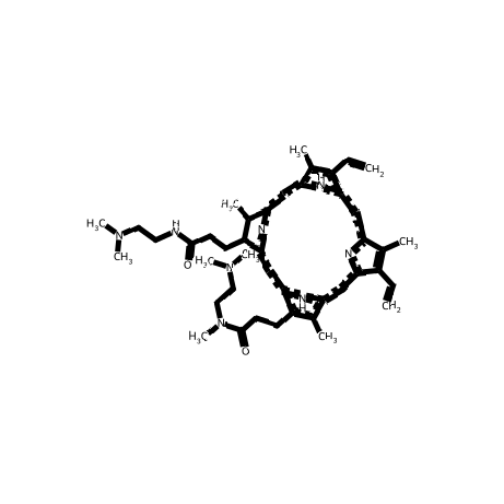 C=CC1=C(C)c2cc3[nH]c(cc4nc(cc5[nH]c(cc1n2)c(C)c5CCC(=O)N(C)CCN(C)C)C(CCC(=O)NCCN(C)C)C4C)c(C)c3C=C